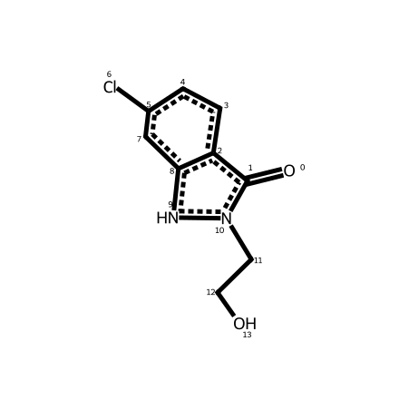 O=c1c2ccc(Cl)cc2[nH]n1CCO